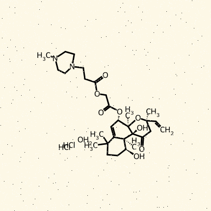 C=C[C@@]1(C)CC(=O)[C@@]2(O)[C@](C)(O1)[C@@H](OC(=O)COC(=O)CCN1CCN(C)CC1)C=C1C(C)(C)CC[C@H](O)[C@@]12C.Cl.Cl.O